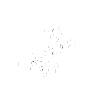 CC(C)C1(C(C)C)c2cc(-c3cc(N(c4ccccc4)c4ccc5c(c4)C(C)(C)c4ccccc4-5)cc(N(c4cccc(-c5ccccc5)c4)c4ccc5c(c4)C(C)(C)c4ccccc4-5)c3)ccc2-c2ccc(-c3cc(N(c4ccccc4)c4ccc5c(c4)C(C)(C)c4ccccc4-5)cc(N(c4cccc(-c5ccccc5)c4)c4ccc5c(c4)C(C)(C)c4ccccc4-5)c3)cc21